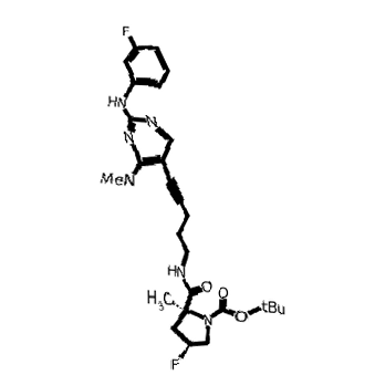 CNc1nc(Nc2cccc(F)c2)ncc1C#CCCCNC(=O)[C@]1(C)C[C@H](F)CN1C(=O)OC(C)(C)C